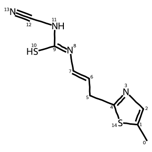 Cc1cnc(CC=CN=C(S)NC#N)s1